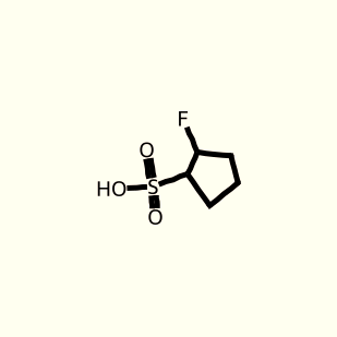 O=S(=O)(O)C1CCCC1F